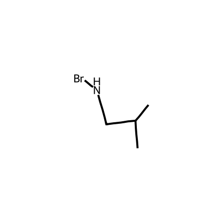 CC(C)CNBr